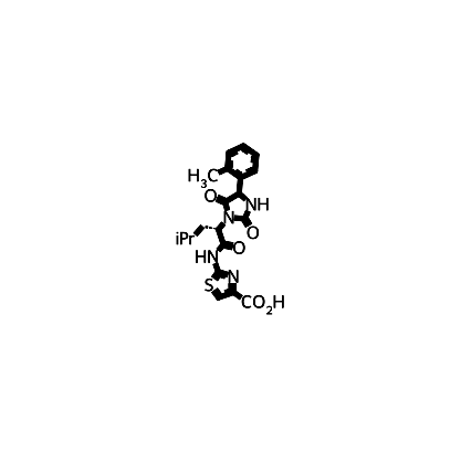 Cc1ccccc1C1NC(=O)N([C@@H](CC(C)C)C(=O)Nc2nc(C(=O)O)cs2)C1=O